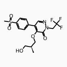 C[C@@H](CO)COc1c(-c2ccc(S(C)(=O)=O)cc2)cnn(CC(F)(F)F)c1=O